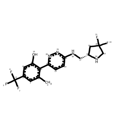 Cc1cc(C(F)(F)F)cc(O)c1-c1ccc(NC[C@@H]2CC(F)(F)CN2)nn1